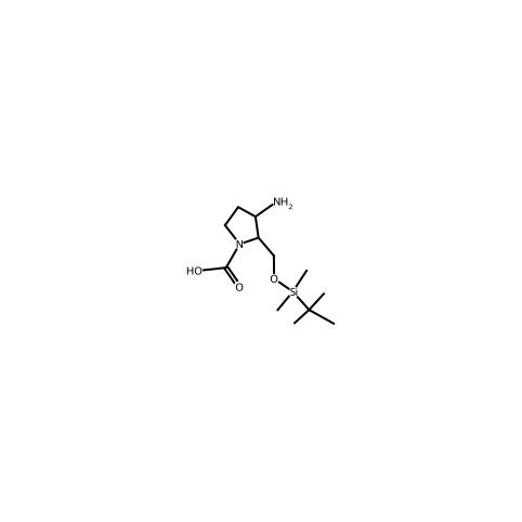 CC(C)(C)[Si](C)(C)OCC1C(N)CCN1C(=O)O